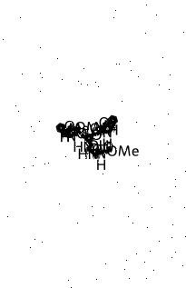 COC(=O)CCNC(=O)[C@H](C)NC(=O)[C@H](C)NC(O)c1cc(COc2cc3c(cc2OC)C(=O)N2c4ccccc4C[C@H]2C=N3)cc(COc2cc3c(cc2OC)C(=O)N2c4ccccc4C[C@H]2CN3)c1